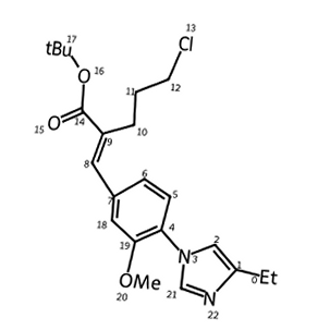 CCc1cn(-c2ccc(/C=C(\CCCCl)C(=O)OC(C)(C)C)cc2OC)cn1